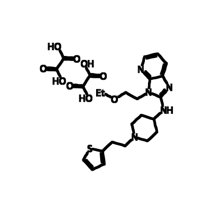 CCOCCn1c(NC2CCN(CCc3cccs3)CC2)nc2cccnc21.O=C(O)C(=O)O.O=C(O)C(=O)O